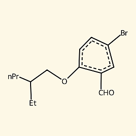 CCCC(CC)COc1ccc(Br)cc1C=O